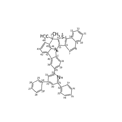 CC1(C)c2sc3c(ccc4ccccc43)c2-n2c3ccc(-c4cc(-c5ccccc5)cc(-c5ccccc5)n4)cc3c3cccc1c32